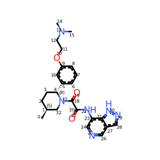 C[C@H]1CC[C@H](c2cccc(OCCN(C)C)c2)N(C(=O)C(=O)Nc2cncc3cn[nH]c23)C1